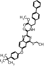 CCSc1nc(C(=O)NC(Cc2ccc(-c3ccccc3)cc2)C(=O)OC)nc2ccc(Oc3ccc(C(C)(C)C)cc3)cc12